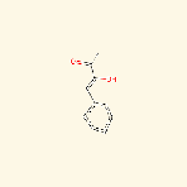 CC(=O)C(O)=Cc1ccccc1